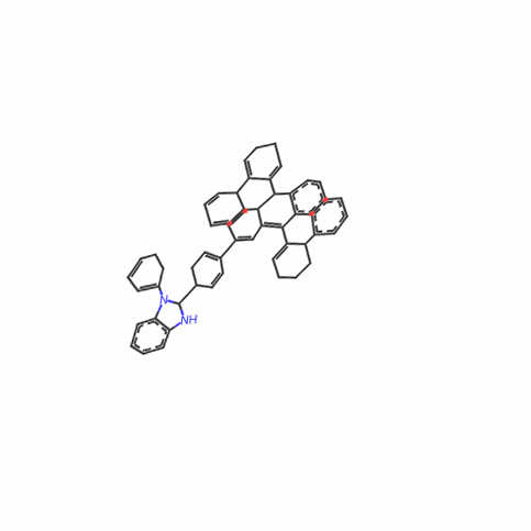 C1=CCCC(N2c3ccccc3NC2C2C=CC(C3=CC4=C(C5=CCCCC5c5ccccc5)c5ccccc5C(C5=CCCC=C5C5C=CC=CC5)C4C=C3)=CC2)=C1